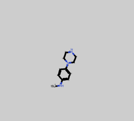 CC(C)(C)Nc1ccc(N2CCNCC2)cc1